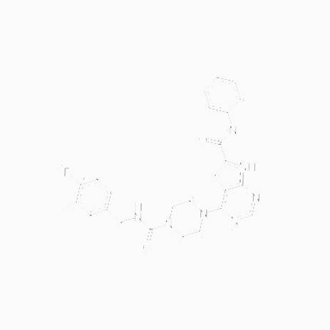 O=C(Nc1ccccc1)c1cc2c(N3CCN(C(=O)NCc4ccc(F)cc4)CC3)ncnc2[nH]1